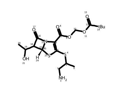 CC(CN)SC1=C(C(=O)OCOC(=O)C(C)(C)C)N2C(=O)C(C(C)O)[C@H]2S1